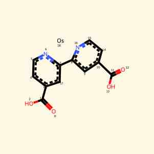 O=C(O)c1ccnc(-c2cc(C(=O)O)ccn2)c1.[Os]